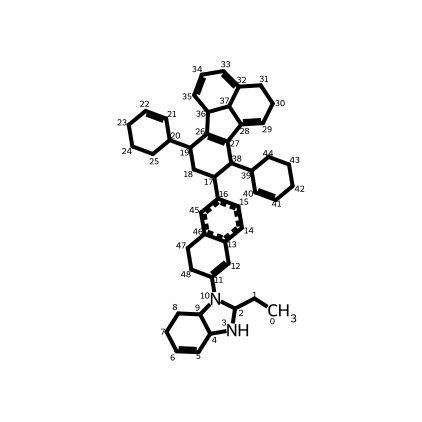 CCC1NC2C=CCCC2N1C1=Cc2ccc(C3CC(C4C=CCCC4)C4=C(C5=CCCC6=CC=CC4C65)C3C3C=CCCC3)cc2CC1